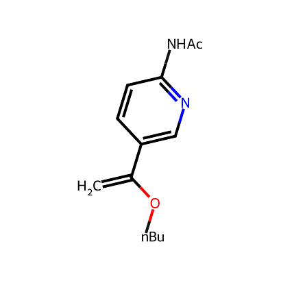 C=C(OCCCC)c1ccc(NC(C)=O)nc1